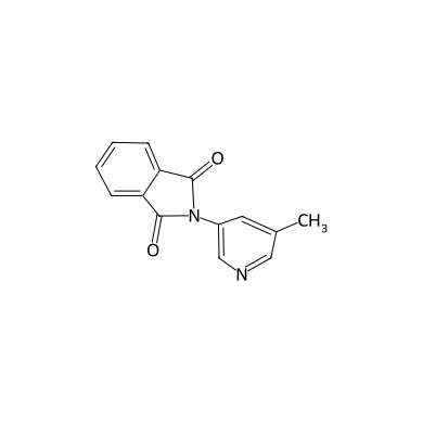 Cc1cncc(N2C(=O)c3ccccc3C2=O)c1